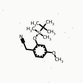 COc1ccc(CC#N)c(O[Si](C)(C)C(C)(C)C)c1